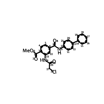 COC(=O)c1ccc(C(=O)Nc2ccc(-c3ccccc3)cc2)cc1NC(=O)CCl